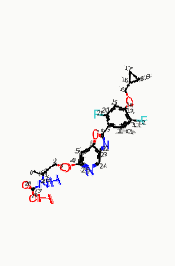 C[C@@H](COc1cc2oc(-c3cc(F)c(OCC4CC4)cc3F)nc2cn1)NC(=O)O